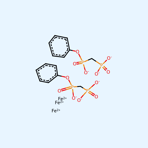 O=P([O-])([O-])CP(=O)([O-])Oc1ccccc1.O=P([O-])([O-])CP(=O)([O-])Oc1ccccc1.[Fe+2].[Fe+2].[Fe+2]